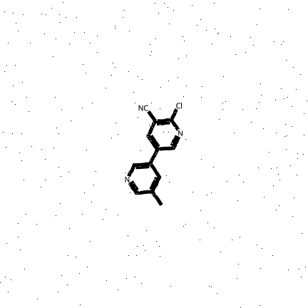 Cc1cncc(-c2cnc(Cl)c(C#N)c2)c1